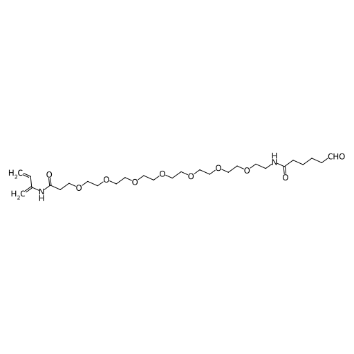 C=CC(=C)NC(=O)CCOCCOCCOCCOCCOCCOCCOCCNC(=O)CCCCC=O